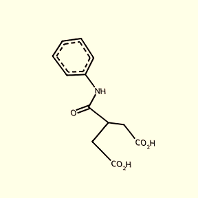 O=C(O)CC(CC(=O)O)C(=O)Nc1ccccc1